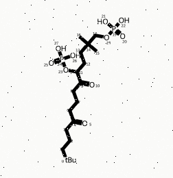 CC(C)(C)CCCC(=O)CCCC(=O)C(CCC(C)(C)COP(=O)(O)O)OP(=O)(O)O